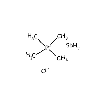 C[P+](C)(C)C.[Cl-].[SbH3]